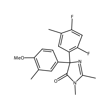 COc1ccc(C2(c3cc(C)c(F)cc3F)N=C(C)N(C)C2=O)cc1C